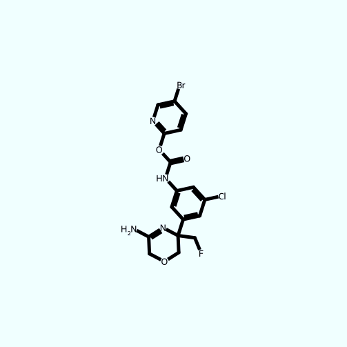 NC1=NC(CF)(c2cc(Cl)cc(NC(=O)Oc3ccc(Br)cn3)c2)COC1